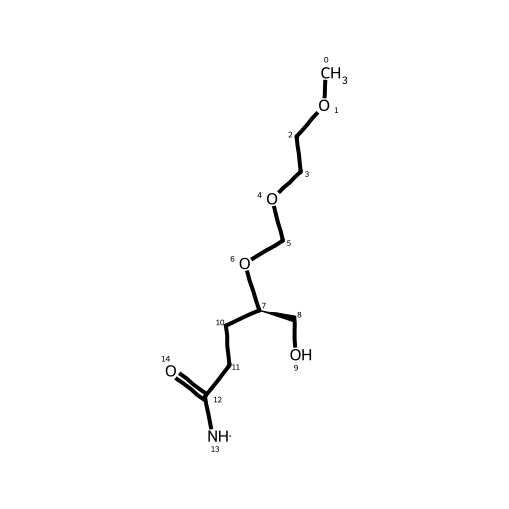 COCCOCO[C@@H](CO)CCC([NH])=O